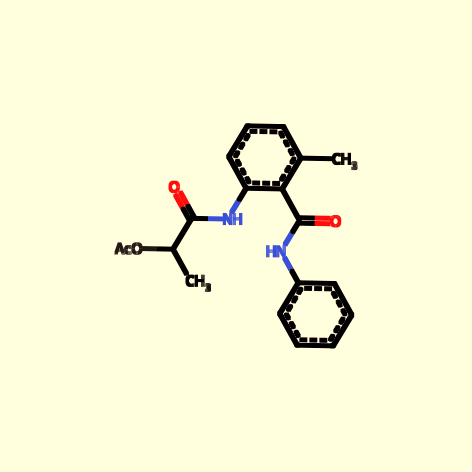 CC(=O)OC(C)C(=O)Nc1cccc(C)c1C(=O)Nc1ccccc1